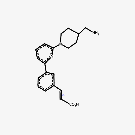 NCC1CCN(c2cccc(-c3cncc(/C=C/C(=O)O)c3)n2)CC1